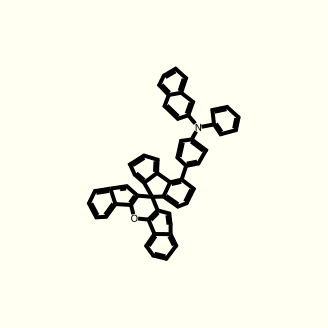 c1ccc(N(c2ccc(-c3cccc4c3-c3ccccc3C43c4ccc5ccccc5c4Oc4c3ccc3ccccc43)cc2)c2ccc3ccccc3c2)cc1